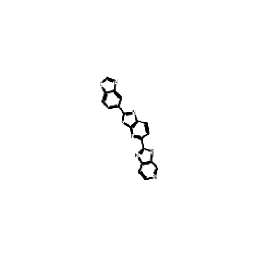 c1cc2nc(-c3ccc4nc(-c5ccc6scnc6c5)sc4n3)sc2cn1